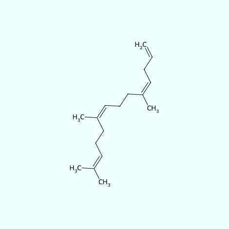 C=CCC=C(C)CCC=C(C)CCC=C(C)C